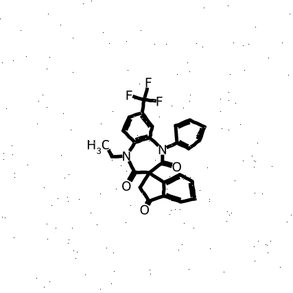 CCN1C(=O)C2(CC(=O)c3ccccc32)C(=O)N(c2ccccc2)c2cc(C(F)(F)F)ccc21